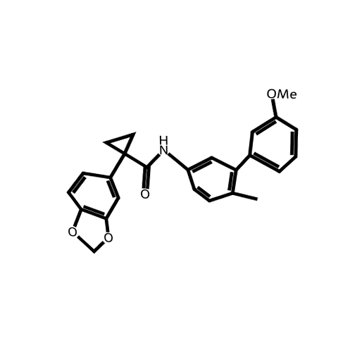 COc1cccc(-c2cc(NC(=O)C3(c4ccc5c(c4)OCO5)CC3)ccc2C)c1